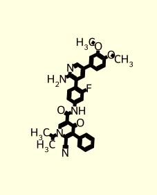 COc1ccc(-c2cnc(N)c(-c3ccc(NC(=O)c4cn(C(C)C)c(C#N)c(-c5ccccc5)c4=O)cc3F)c2)cc1OC